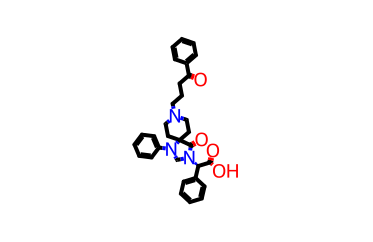 O=C(CCCN1CCC2(CC1)C(=O)N([C@@H](C(=O)O)c1ccccc1)CN2c1ccccc1)c1ccccc1